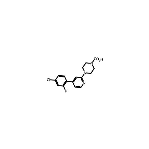 O=C(O)N1CCN(c2cc(-c3ccc(Cl)cc3F)ccn2)CC1